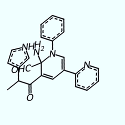 CC(C(=O)C1=CC(c2ccccn2)=CN(c2ccccc2)C1(N)C=O)c1cc[nH]c1